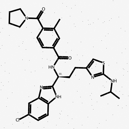 Cc1cc(C(=O)N[C@@H](CCc2csc(NC(C)C)n2)c2nc3cc(Cl)ccc3[nH]2)ccc1C(=O)N1CCCC1